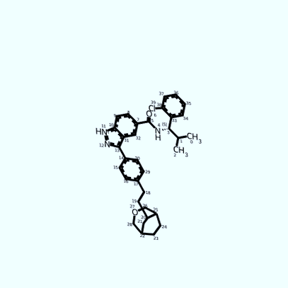 CC(C)[C@H](NC(=O)c1ccc2[nH]nc(-c3ccc(CCC4CC5CCC4COC5)cc3)c2c1)c1ccccc1Cl